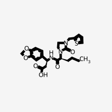 CCCC[C@@H](C(=O)N[C@@H](CC(=O)O)c1ccc2c(c1)OCO2)N1CCN(Cc2cccs2)C1=O